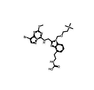 CSc1nc(NCc2nc3c(CCNC(=O)O)cccc3n2COCC[Si](C)(C)C)n2ncc(Br)c2n1